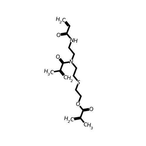 C=CC(=O)NCCN(CCSCCOC(=O)C(=C)C)C(=O)C(=C)C